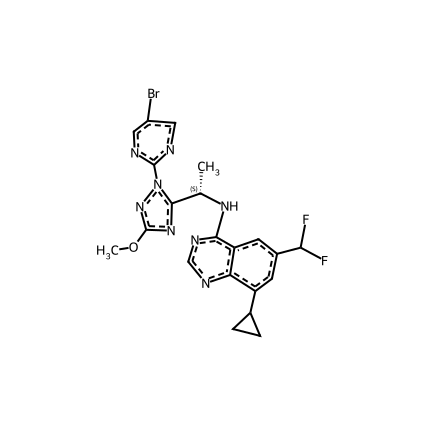 COc1nc([C@H](C)Nc2ncnc3c(C4CC4)cc(C(F)F)cc23)n(-c2ncc(Br)cn2)n1